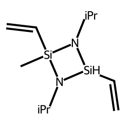 C=C[SiH]1N(C(C)C)[Si](C)(C=C)N1C(C)C